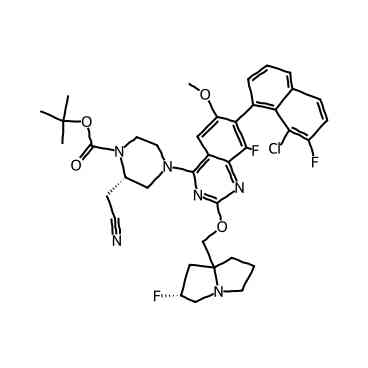 COc1cc2c(N3CCN(C(=O)OC(C)(C)C)[C@@H](CC#N)C3)nc(OCC34CCCN3C[C@H](F)C4)nc2c(F)c1-c1cccc2ccc(F)c(Cl)c12